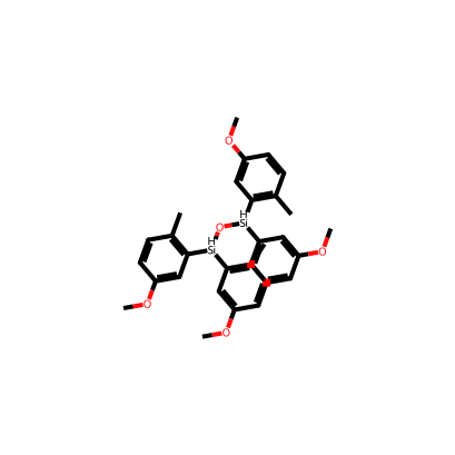 COc1ccc(C)c([SiH](O[SiH](c2cc(OC)ccc2C)c2cc(OC)ccc2C)c2cc(OC)ccc2C)c1